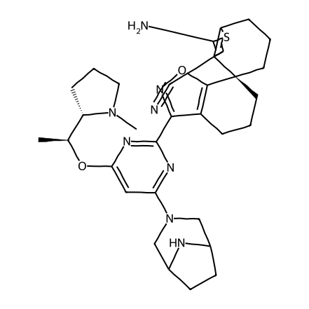 C[C@H](Oc1cc(N2CC3CCC(C2)N3)nc(-c2noc3c2CCC[C@@]32CCCc3sc(N)c(C#N)c32)n1)[C@@H]1CCCN1C